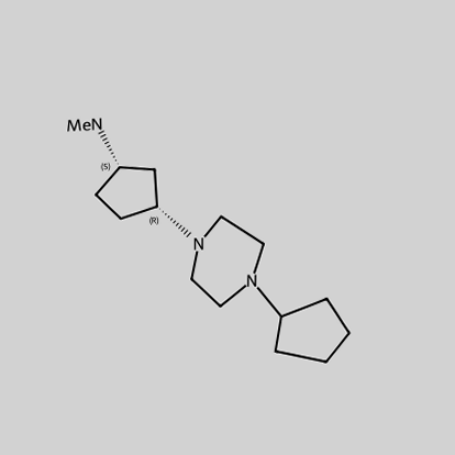 CN[C@H]1CC[C@@H](N2CCN(C3CCCC3)CC2)C1